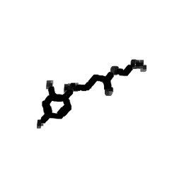 CCOC(=O)CCNc1ccc(F)cc1F